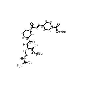 CC(C)(C)OC(=O)[C@H](CCNC(=O)C(F)(F)F)NC(=O)[C@@H]1CCCN(C(=O)/C=C/C2CCN(C(=O)OC(C)(C)C)CC2)C1